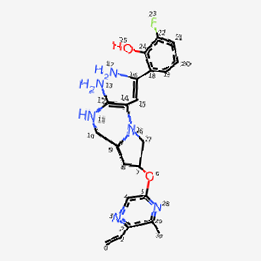 C=Cc1ncc(OC2CC3CNC(N)=C(/C=C(\N)c4cccc(F)c4O)N3C2)nc1C